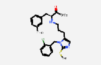 CCCSc1ncc(CCCN[C@@H](Cc2cccc(C=O)c2)C(=O)OC)n1Cc1ccccc1Cl